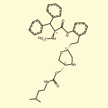 CN(C)CCNC(=O)OC[C@@H]1CO[C@H](CCc2ccccc2NC(=O)[C@@H](NC(=O)O)C(c2ccccc2)c2ccccc2)CN1